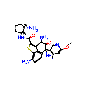 Cc1cc(OC(C)C)ncc1C1(N)C(=O)C(N)c2c(C(=O)N[C@@H]3CCC[C@@H]3N)sc3c(N)ccc1c23